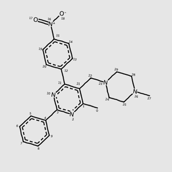 Cc1nc(-c2ccccc2)nc(-c2ccc([N+](=O)[O-])cc2)c1CN1CCN(C)CC1